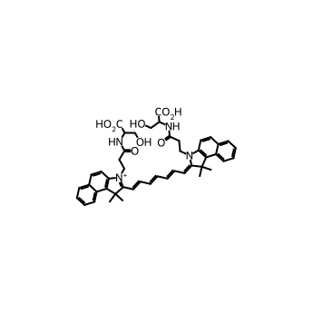 CC1(C)C(/C=C/C=C/C=C/C=C2\N(CCC(=O)NC(CO)C(=O)O)c3ccc4ccccc4c3C2(C)C)=[N+](CCC(=O)NC(CO)C(=O)O)c2ccc3ccccc3c21